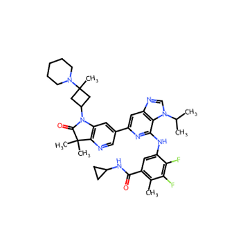 Cc1c(C(=O)NC2CC2)cc(Nc2nc(-c3cnc4c(c3)N(C3CC(C)(N5CCCCC5)C3)C(=O)C4(C)C)cc3ncn(C(C)C)c23)c(F)c1F